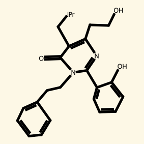 CC(C)Cc1c(CCO)nc(-c2ccccc2O)n(CCc2ccccc2)c1=O